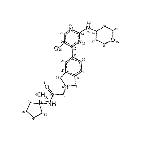 CC1(NC(=O)CN2Cc3ccc(-c4nc(NC5CCOCC5)ncc4Cl)cc3C2)CCCC1